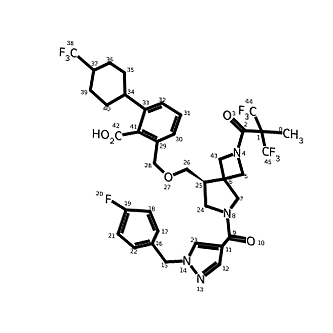 CC(C(=O)N1CC2(CN(C(=O)c3cnn(Cc4ccc(F)cc4)c3)C[C@H]2COCc2cccc(C3CCC(C(F)(F)F)CC3)c2C(=O)O)C1)(C(F)(F)F)C(F)(F)F